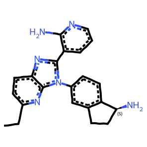 CCc1ccc2nc(-c3cccnc3N)n(-c3ccc4c(c3)CC[C@@H]4N)c2n1